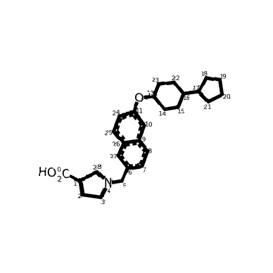 O=C(O)C1CCN(Cc2ccc3cc(OC4CCC(C5CCCC5)CC4)ccc3c2)C1